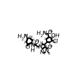 Cn1cnc2c(c(-c3cc(Cl)c(O)c(C(N)=O)c3)cn2CC(=O)Nc2ccc(N)cc2Cl)c1=O